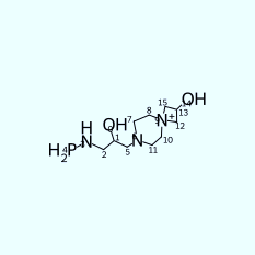 OC(CNP)CN1CC[N+]2(CC1)CC(O)C2